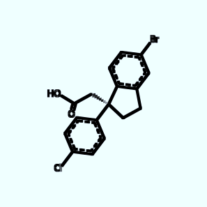 O=C(O)C[C@@]1(c2ccc(Cl)cc2)CCc2cc(Br)ccc21